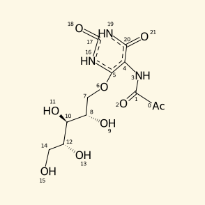 CC(=O)C(=O)Nc1c(OC[C@H](O)[C@H](O)[C@H](O)CO)[nH]c(=O)[nH]c1=O